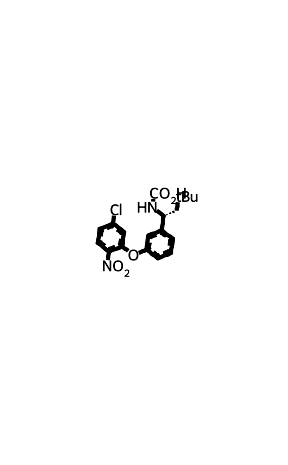 CC(C)(C)C[C@@H](NC(=O)O)c1cccc(Oc2cc(Cl)ccc2[N+](=O)[O-])c1